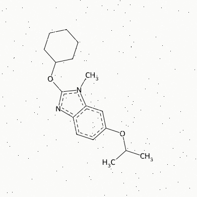 CC(C)Oc1ccc2nc(OC3CCCCC3)n(C)c2c1